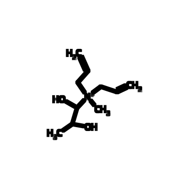 C=CC[N+](C)(CC=C)C(O)C(C)O